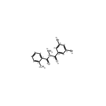 Cc1ccccc1C(=O)N(N)C(=O)c1cc(Br)cc(Br)c1